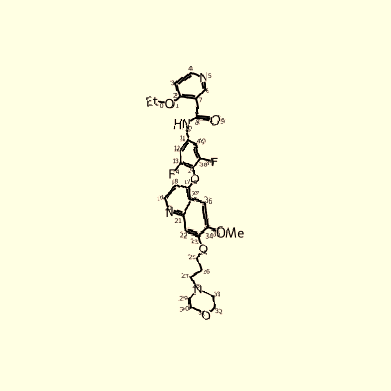 CCOc1ccncc1C(=O)Nc1cc(F)c(Oc2ccnc3cc(OCCCN4CCOCC4)c(OC)cc23)c(F)c1